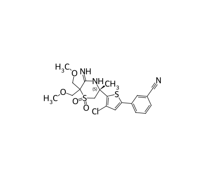 COCC1(COC)C(=N)N[C@](C)(c2sc(-c3cccc(C#N)c3)cc2Cl)CS1(=O)=O